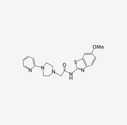 COc1ccc2nc(NC(=O)CN3CCN(c4ccccn4)CC3)sc2c1